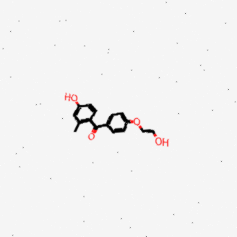 Cc1cc(O)ccc1C(=O)c1ccc(OCCO)cc1